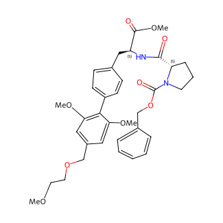 COCCOCc1cc(OC)c(-c2ccc(C[C@H](NC(=O)[C@@H]3CCCN3C(=O)OCc3ccccc3)C(=O)OC)cc2)c(OC)c1